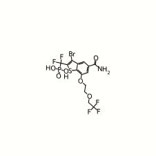 NC(=O)c1cc(OCCOCC(F)(F)F)c2sc(C(F)(F)P(=O)(O)O)c(Br)c2c1